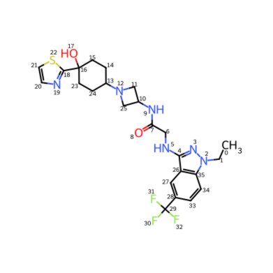 CCn1nc(NCC(=O)NC2CN(C3CCC(O)(c4nccs4)CC3)C2)c2cc(C(F)(F)F)ccc21